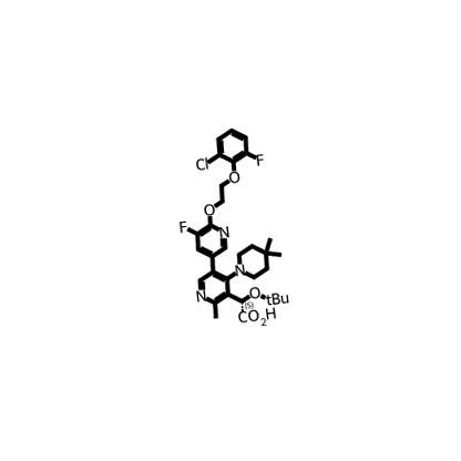 Cc1ncc(-c2cnc(OCCOc3c(F)cccc3Cl)c(F)c2)c(N2CCC(C)(C)CC2)c1[C@H](OC(C)(C)C)C(=O)O